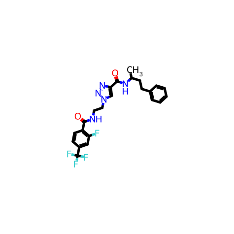 CC(CCc1ccccc1)NC(=O)c1cn(CCNC(=O)c2ccc(C(F)(F)F)cc2F)nn1